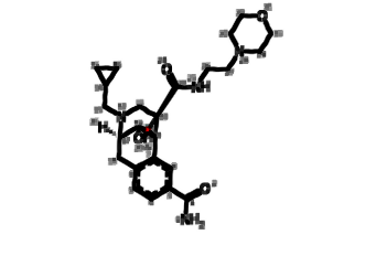 NC(=O)c1ccc2c(c1)[C@]13CCN(CC4CC4)[C@H](C2)[C@]1(O)C[C@H](C(=O)NCCN1CCOCC1)C3